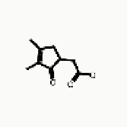 CC1=C(C)C(=O)C(CC(=O)O)C1